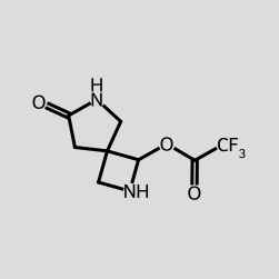 O=C1CC2(CN1)CNC2OC(=O)C(F)(F)F